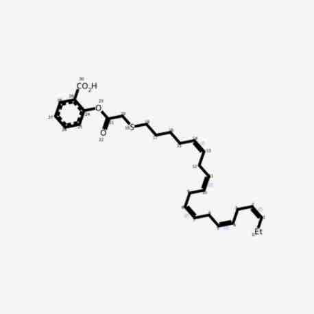 CC/C=C\C/C=C\C/C=C\C/C=C\C/C=C\CCCCSCC(=O)Oc1ccccc1C(=O)O